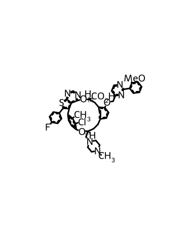 COc1ccccc1-c1nccc(COc2ccc3cc2C[C@@H](C(=O)O)Oc2ncnc4sc(-c5ccc(F)cc5)c(c24)-c2ccc(c(Cl)c2C)O[C@H](CN2CCN(C)CC2)CC3)n1